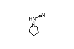 N#CNN1CCCCC1